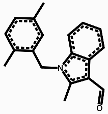 Cc1ccc(C)c(Cn2c(C)c(C=O)c3ccccc32)c1